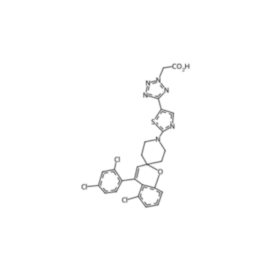 O=C(O)Cn1nnc(-c2cnc(N3CCC4(C=C(c5ccc(Cl)cc5Cl)c5c(Cl)cccc5O4)CC3)s2)n1